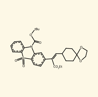 CCOC(=O)C(=CC1CCC2(CC1)OCCO2)c1ccc2c(c1)N(C(=O)OC(C)(C)C)c1ccccc1S2(=O)=O